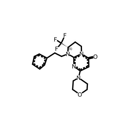 O=c1cc(N2CCOCC2)nc2n1CC[C@@H](C(F)(F)F)N2CCc1ccccc1